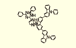 N/C(=N\C(NCc1ccccc1)C1=CCNC(n2c3ccc(-c4ccc5c(c4)c4ccccc4n5-c4ccccc4)cc3c3cc(-c4ccc5c(c4)c4ccccc4n5-c4ccccc4)ccc32)N1)c1ccccc1